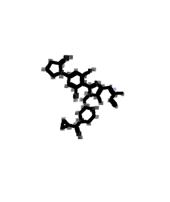 C=C/C(C)=C\c1nc(-c2c(F)cc(N3CCCC3=O)cc2Cl)n(C[C@H]2CN(C(=O)C3CC3)CCO2)c1C